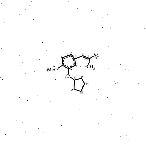 COc1ccc(/C=C(\C)C(C)=O)cc1OC1CCCC1